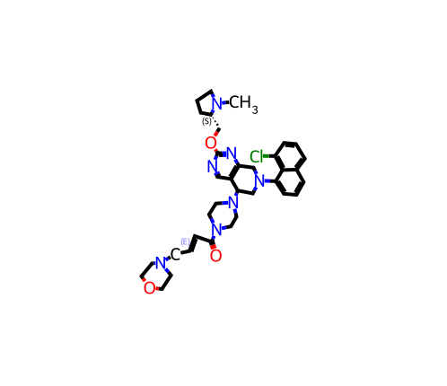 CN1CCC[C@H]1COc1ncc2c(n1)CN(c1cccc3cccc(Cl)c13)CC2N1CCN(C(=O)/C=C/CN2CCOCC2)CC1